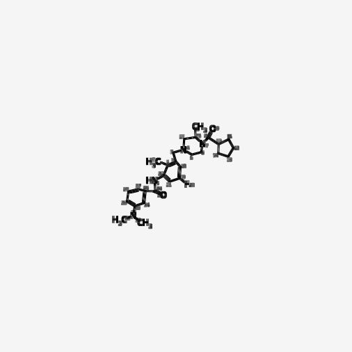 Cc1c(CN2CCN(C(=O)C3CCCC3)C(C)C2)cc(F)cc1NC(=O)c1cccc(N(C)C)c1